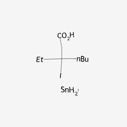 CCCCC(I)(CC)C(=O)O.[SnH2]